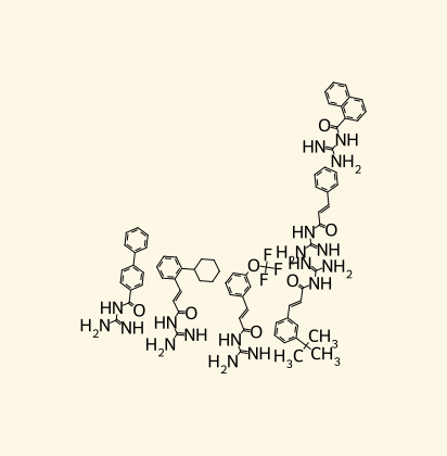 CC(C)(C)c1cccc(C=CC(=O)NC(=N)N)c1.N=C(N)NC(=O)C=Cc1cccc(OC(F)(F)F)c1.N=C(N)NC(=O)C=Cc1ccccc1.N=C(N)NC(=O)C=Cc1ccccc1C1CCCCC1.N=C(N)NC(=O)c1ccc(-c2ccccc2)cc1.N=C(N)NC(=O)c1cccc2ccccc12